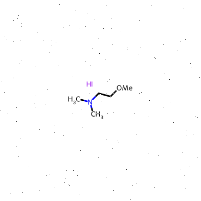 COCCN(C)C.I